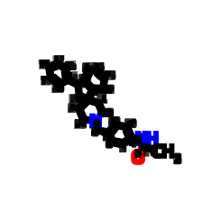 CC(=O)Nc1ccc(CN2CCC(CCc3ccccc3)(c3ccccc3)CC2)cc1